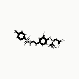 CC(=O)N(CC(=O)O)Oc1ccc(CCNS(=O)(=O)c2ccc(Cl)cc2)cc1F